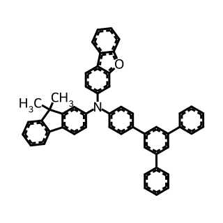 CC1(C)c2ccccc2-c2ccc(N(c3ccc(-c4cc(-c5ccccc5)cc(-c5ccccc5)c4)cc3)c3ccc4c(c3)oc3ccccc34)cc21